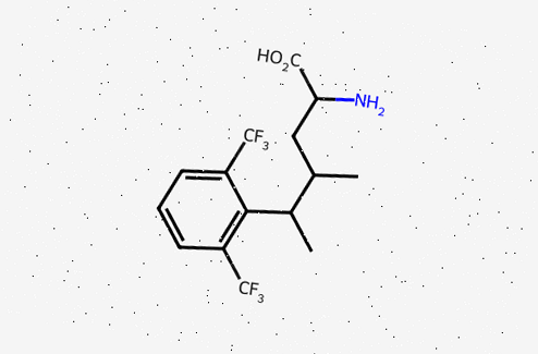 CC(CC(N)C(=O)O)C(C)c1c(C(F)(F)F)cccc1C(F)(F)F